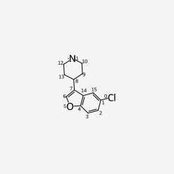 Clc1ccc2occ(C3CC[N]CC3)c2c1